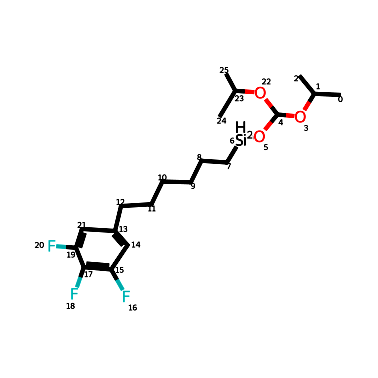 CC(C)OC(O[SiH2]CCCCCCc1cc(F)c(F)c(F)c1)OC(C)C